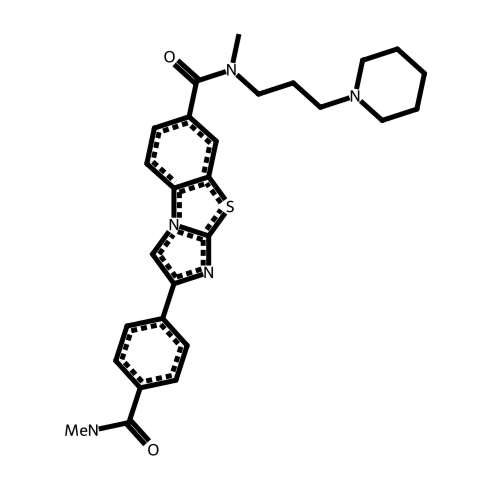 CNC(=O)c1ccc(-c2cn3c(n2)sc2cc(C(=O)N(C)CCCN4CCCCC4)ccc23)cc1